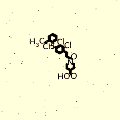 CC(C)c1ccccc1Sc1ccc(C=CC(=O)N2CCC(C(=O)O)CC2)c(Cl)c1Cl